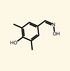 Cc1cc(/C=N\O)cc(C)c1O